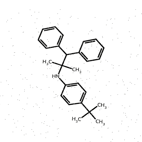 CC(C)(C)c1ccc(NC(C)(C)C(c2ccccc2)c2ccccc2)cc1